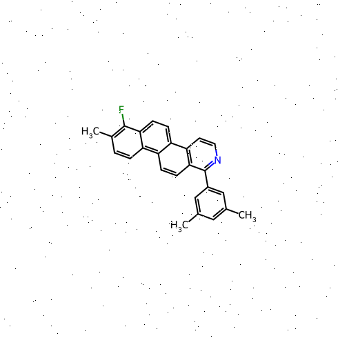 Cc1cc(C)cc(-c2nccc3c2ccc2c4ccc(C)c(F)c4ccc32)c1